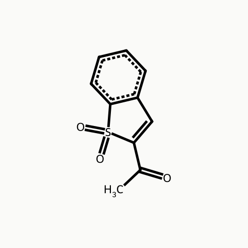 CC(=O)C1=Cc2ccccc2S1(=O)=O